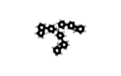 c1cc(-c2ccc3c(c2)sc2ccccc23)cc(N(c2ccc(-c3cccc4ccccc34)cc2)c2ccc(-c3cccc4c3sc3ccccc34)cc2)c1